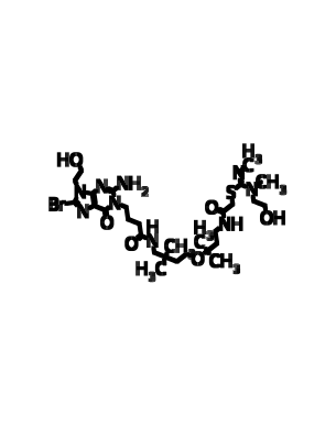 C/N=C(/SCC(=O)NCCC(C)(C)OCCC(C)(C)CNC(=O)CCCn1c(N)nc2c(nc(Br)n2CCO)c1=O)N(C)CCO